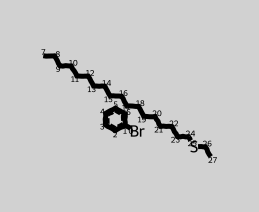 Brc1ccccc1.CCCCCCCCCCCCCCCCCCSCC